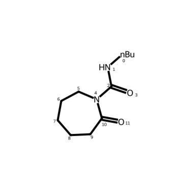 CCCCNC(=O)N1CCCCCC1=O